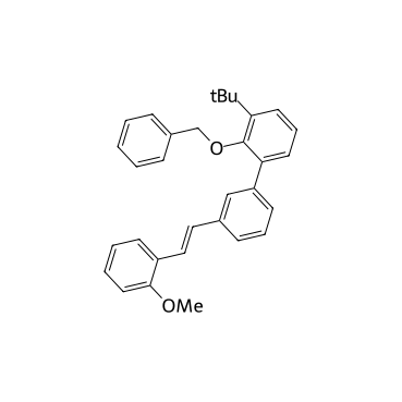 COc1ccccc1C=Cc1cccc(-c2cccc(C(C)(C)C)c2OCc2ccccc2)c1